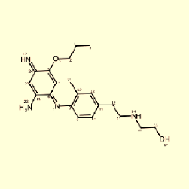 CCCOC1=CC(=Nc2ccc(CCNCCO)cc2C)C(N)=CC1=N